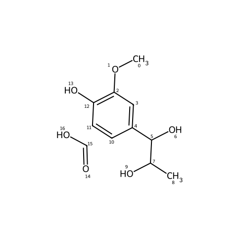 COc1cc(C(O)C(C)O)ccc1O.O=CO